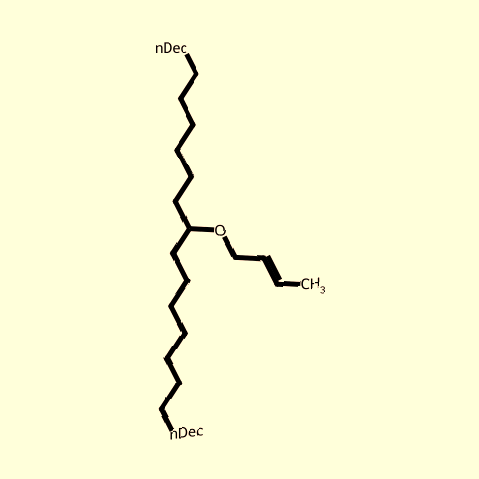 CC=CCOC(CCCCCCCCCCCCCCCC)CCCCCCCCCCCCCCCCC